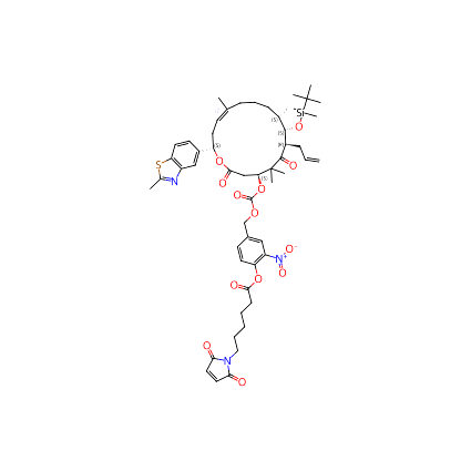 C=CC[C@H]1C(=O)C(C)(C)[C@@H](OC(=O)OCc2ccc(OC(=O)CCCCCN3C(=O)C=CC3=O)c([N+](=O)[O-])c2)CC(=O)O[C@H](c2ccc3sc(C)nc3c2)C/C=C(/C)CCC[C@H](C)[C@@H]1O[Si](C)(C)C(C)(C)C